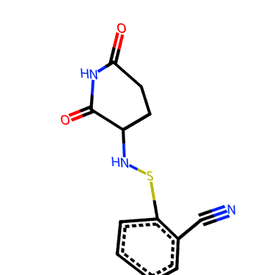 N#Cc1ccccc1SNC1CCC(=O)NC1=O